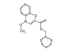 CON1C=C(C(=O)OCc2ccccc2)Oc2ccccc21